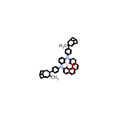 CC1C=C2CC3=CC(CC1c1ccc(N4c5cccc(-c6ccccc6)c5B5C6=C(CCC=C6c6ccccc6)N(c6ccc(C7(C)C=C8CC9CC(C7)C89)cc6)c6cccc4c65)cc1)C23